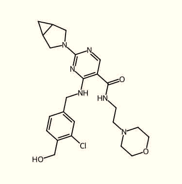 O=C(NCCN1CCOCC1)c1cnc(N2CC3CC3C2)nc1NCc1ccc(CO)c(Cl)c1